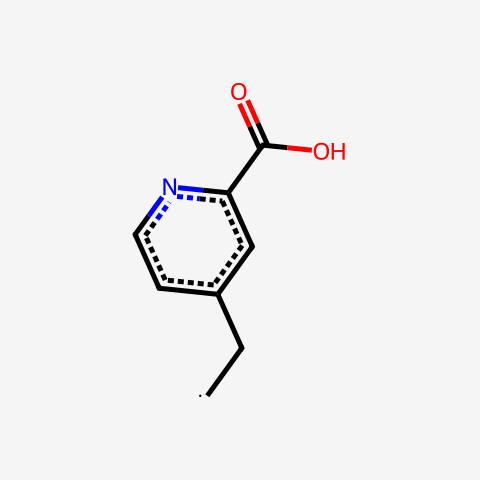 [CH2]Cc1ccnc(C(=O)O)c1